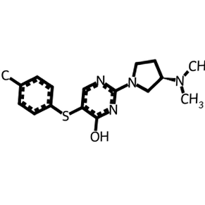 CN(C)[C@@H]1CCN(c2ncc(Sc3ccc(C#N)cc3)c(O)n2)C1